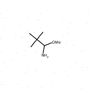 COC(N)C(C)(C)C